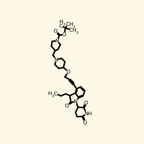 CCCC1C(=O)N(C2CCC(=O)NC2=O)c2cccc(C#CCOC3CCN(CC4CCN(C(=O)OC(C)(C)C)CC4)CC3)c21